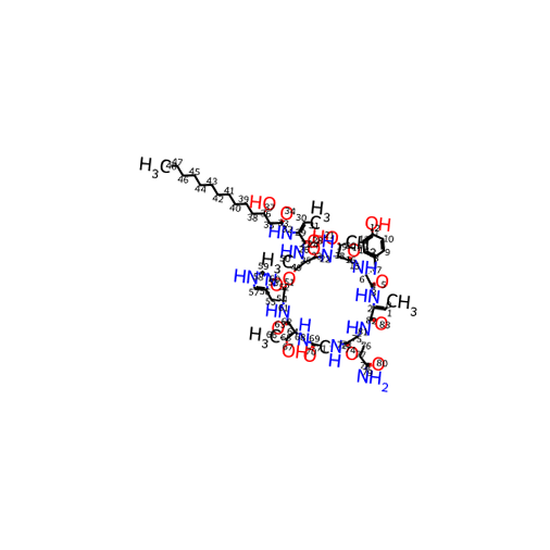 C/C=C1\NC(=O)[C@@H](Cc2ccc(O)cc2)NC(=O)[C@@H]([C@H](C)O)NC(=O)[C@@H](NC(=O)/C(=C\C)NC(=O)C[C@H](O)CCCCCCCCCCC)[C@@H](C)OC(=O)[C@H](Cc2c[nH]cn2)NC(=O)[C@H]([C@@H](C)O)NC(=O)CNC(=O)[C@@H](CCC(N)=O)NC1=O